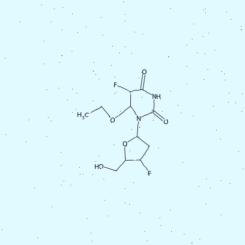 CCOC1C(F)C(=O)NC(=O)N1C1CC(F)C(CO)O1